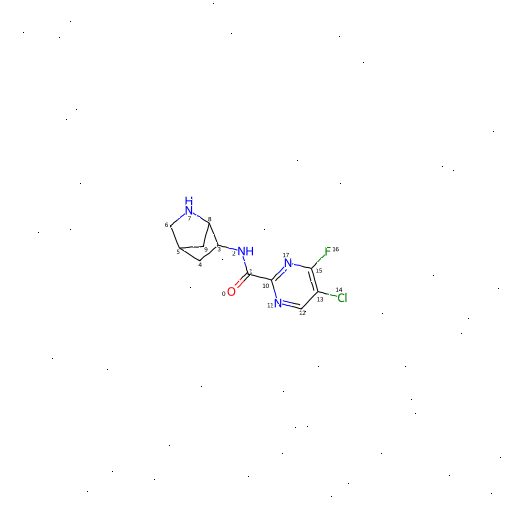 O=C(NC1CC2CNC1C2)c1ncc(Cl)c(F)n1